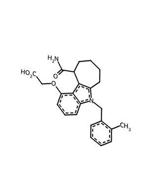 Cc1ccccc1Cn1c2c(c3c(OCC(=O)O)cccc31)C(C(N)=O)CCCC2